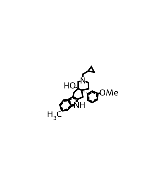 COc1cccc([C@@]23CCN(CC4CC4)C[C@@]2(O)Cc2c([nH]c4cc(C)ccc24)C3)c1